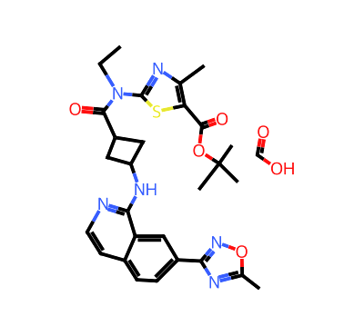 CCN(C(=O)C1CC(Nc2nccc3ccc(-c4noc(C)n4)cc23)C1)c1nc(C)c(C(=O)OC(C)(C)C)s1.O=CO